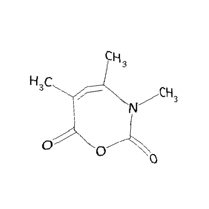 Cc1c(C)n(C)c(=O)oc1=O